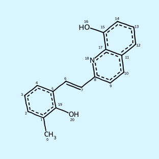 Cc1cccc(C=Cc2ccc3cccc(O)c3n2)c1O